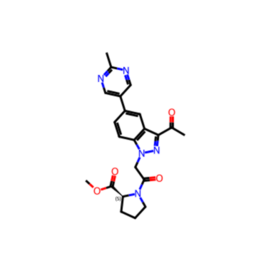 COC(=O)[C@@H]1CCCN1C(=O)Cn1nc(C(C)=O)c2cc(-c3cnc(C)nc3)ccc21